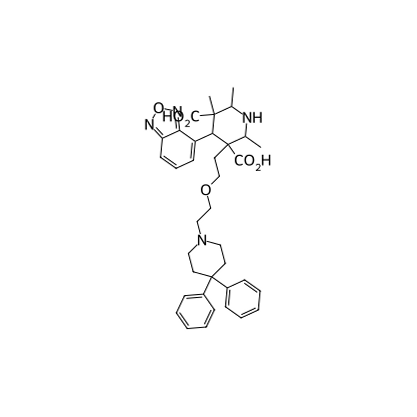 CC1NC(C)C(CCOCCN2CCC(c3ccccc3)(c3ccccc3)CC2)(C(=O)O)C(c2cccc3nonc23)C1(C)C(=O)O